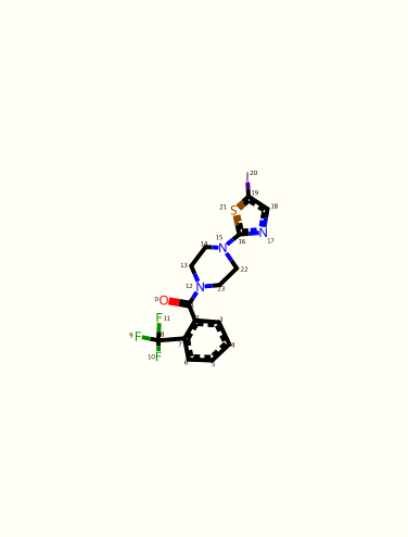 O=C(c1ccccc1C(F)(F)F)N1CCN(c2ncc(I)s2)CC1